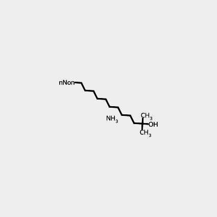 CCCCCCCCCCCCCCCCCCCC(C)(C)O.N